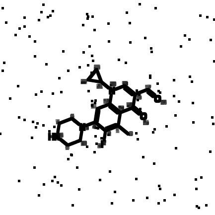 Cc1c(F)c(N2CCNCC2)cc2c1c(=O)c(C=O)cn2C1CC1